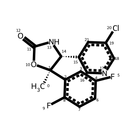 C[C@]1(c2cc(F)ccc2F)OC(=O)N[C@@H]1c1cncc(Cl)c1